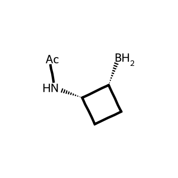 B[C@@H]1CC[C@@H]1NC(C)=O